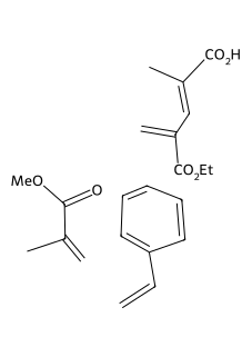 C=C(C)C(=O)OC.C=C(C=C(C)C(=O)O)C(=O)OCC.C=Cc1ccccc1